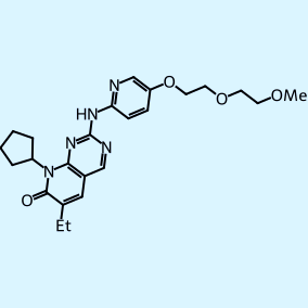 CCc1cc2cnc(Nc3ccc(OCCOCCOC)cn3)nc2n(C2CCCC2)c1=O